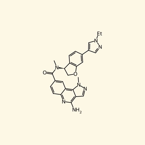 CCn1cc(-c2ccc3c(c2)OC[C@H]3N(C)C(=O)c2ccc3nc(N)c4cnn(C)c4c3c2)cn1